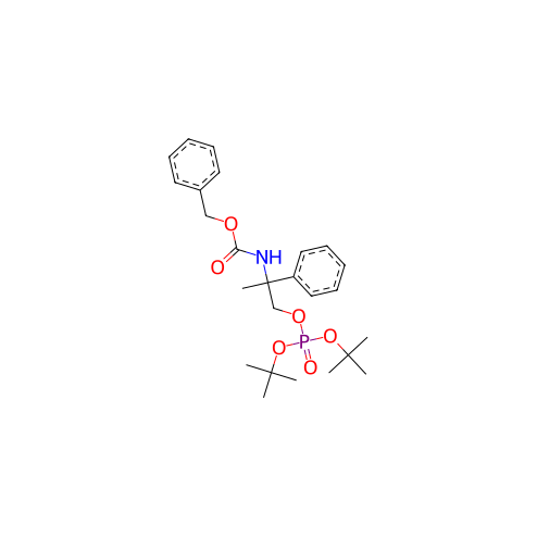 CC(C)(C)OP(=O)(OCC(C)(NC(=O)OCc1ccccc1)c1ccccc1)OC(C)(C)C